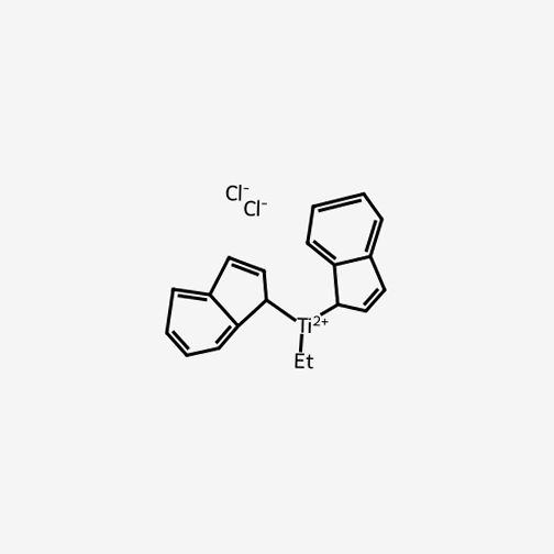 C[CH2][Ti+2]([CH]1C=Cc2ccccc21)[CH]1C=Cc2ccccc21.[Cl-].[Cl-]